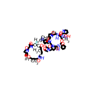 CC1=C\[C@@H](O)C[C@@H](F)Cc2nc(co2)C(=O)N2CCC[C@@H]2C(=O)O[C@H](C(C)C)[C@H](C)/C=C/C(=O)NC/C=C\1.CC[C@H]1NC(=O)[C@@H](NC(=O)c2ncccc2O)[C@@H](C)OC(=O)[C@H](c2ccccc2)NC(=O)[C@@H]2CC=C(CN3CCOCC3)CN2C(=O)[C@H](Cc2ccc(N(C)C)cc2)N(C)C(=O)[C@@H]2CCCN2C1=O